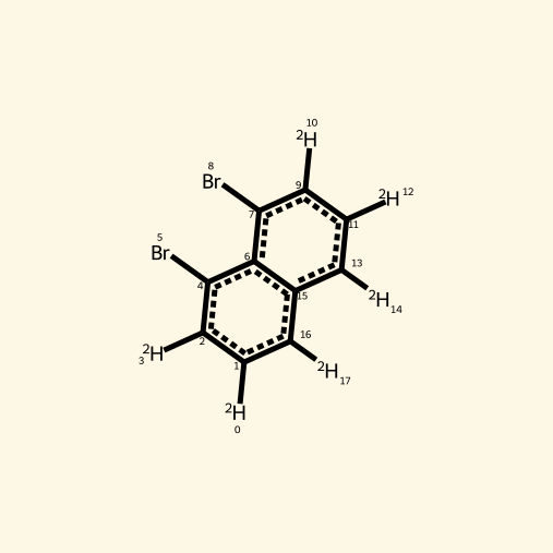 [2H]c1c([2H])c(Br)c2c(Br)c([2H])c([2H])c([2H])c2c1[2H]